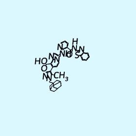 Cc1c(-c2ccn3c(Nc4ncccc4C(=O)Nc4nc5ccccc5s4)cnc3c2C(=O)O)cnn1CC12CC3CC(CC(C3)C1)C2